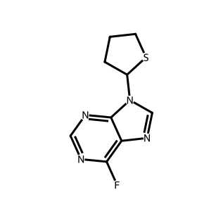 Fc1ncnc2c1ncn2C1CCCS1